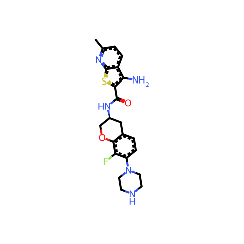 Cc1ccc2c(N)c(C(=O)N[C@@H]3COc4c(ccc(N5CCNCC5)c4F)C3)sc2n1